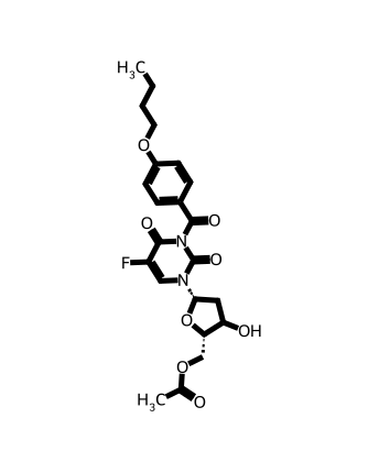 CCCCOc1ccc(C(=O)n2c(=O)c(F)cn([C@@H]3CC(O)[C@H](COC(C)=O)O3)c2=O)cc1